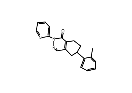 Cc1ccccc1C1CCc2c(cnn(-c3ccccn3)c2=O)C1